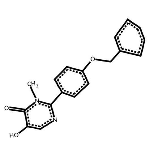 Cn1c(-c2ccc(OCc3ccccc3)cc2)ncc(O)c1=O